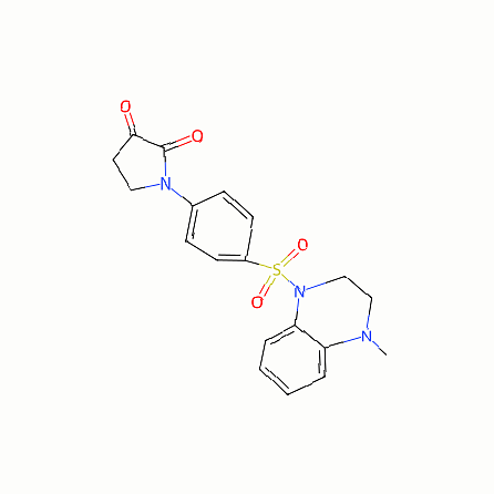 CN1CCN(S(=O)(=O)c2ccc(N3CCC(=O)C3=O)cc2)c2ccccc21